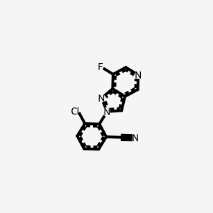 N#Cc1cccc(Cl)c1-n1cc2cncc(F)c2n1